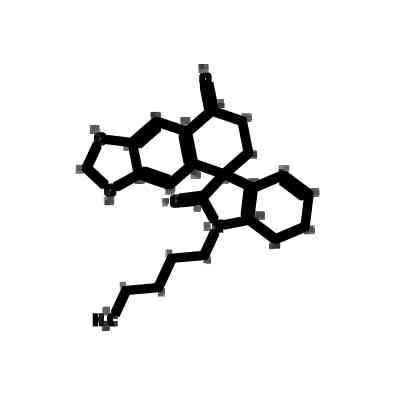 CCCCCN1C(=O)C2(CCC(=O)c3cc4c(cc32)OCO4)C2=C1CCC=C2